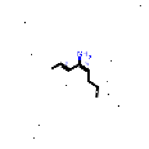 C/C=C/C(N)=C\CCC